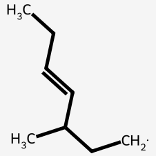 [CH2]CC(C)C=CCC